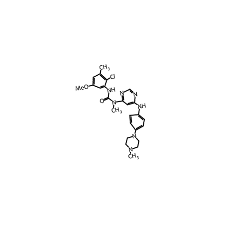 COc1cc(C)c(Cl)c(NC(=O)N(C)c2cc(Nc3ccc(N4CCN(C)CC4)cc3)ncn2)c1